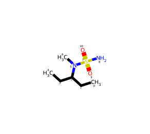 CCC(CC)N(C)S(N)(=O)=O